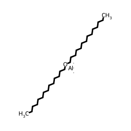 CCCCCCCCCCCCCCOCCCCCCCCCCCCCC.[Al]